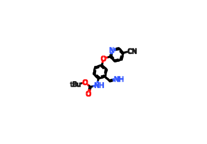 CC(C)(C)OC(=O)Nc1ccc(Oc2ccc(C#N)cn2)cc1C=N